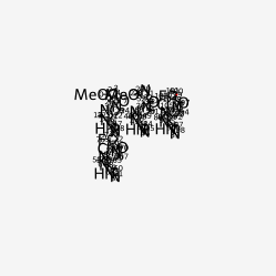 COc1cccc(C(=O)N2Cc3nc(C)nc(-c4ccn[nH]4)c3CC2C)c1C.COc1cncc(C(=O)N2Cc3nc(C)nc(-c4ccn[nH]4)c3CC2C)c1.Cc1nc2c(c(-c3ccn[nH]3)n1)C[C@@H](C)N(C(=O)c1cccc(F)c1Cl)C2.Cc1nc2c(c(-c3ccn[nH]3)n1)C[C@H](C)N(C(=O)c1cccc(F)c1Cl)C2